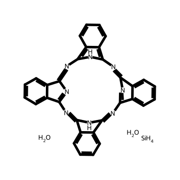 O.O.[SiH4].c1ccc2c(c1)-c1nc-2nc2[nH]c(nc3nc(nc4[nH]c(n1)c1ccccc41)-c1ccccc1-3)c1ccccc21